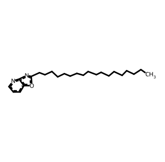 CCCCCCCCCCCCCCCCCCc1nc2ncccc2o1